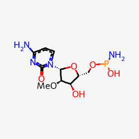 CO[C@@H]1[C@H](O)[C@@H](COP(N)O)O[C@H]1n1ccc(N)nc1=O